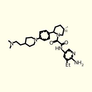 CCc1cc(NC(=O)C(=O)N2C[C@@H](C)CCC2c2ccc(N3CCC(CCN(C)C)CC3)cc2)cnc1N